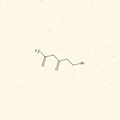 CC(C)CCC(=O)CC(=O)C(F)(F)F